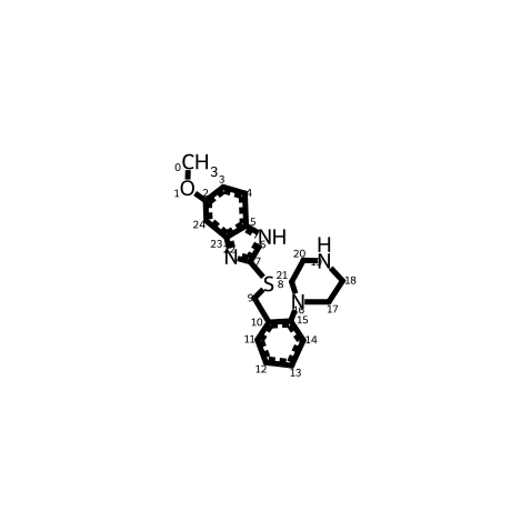 COc1ccc2[nH]c(SCc3ccccc3N3CCNCC3)nc2c1